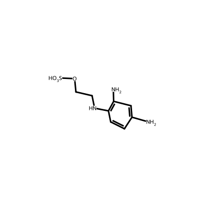 Nc1ccc(NCCOS(=O)(=O)O)c(N)c1